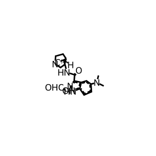 CN(C)c1ccc2[nH]nc(C(=O)N[C@@H]3CN4CCC3CC4)c2c1.O=CO